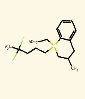 CCCCCCCCCCCS1(CCCC(F)(F)C(F)(F)F)CC(C)Cc2ccccc21